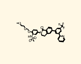 COCCOCOc1ccc(N2CCc3cc(-c4cc(-c5ccccn5)cc(C(F)(F)F)c4)ccc3C2=O)cc1NS(C)(=O)=O